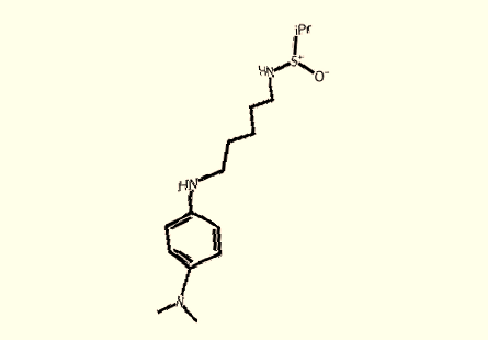 CC(C)[S+]([O-])NCCCCCNc1ccc(N(C)C)cc1